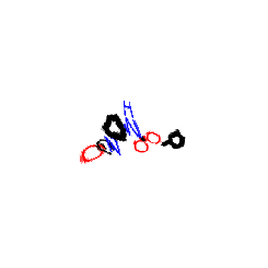 O=C=Nc1cccc(NC(=O)OCc2ccccc2)c1